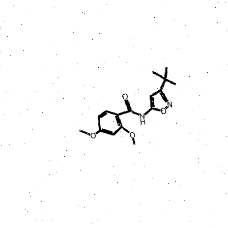 COc1ccc(C(=O)Nc2cc(C(C)(C)C)no2)c(OC)c1